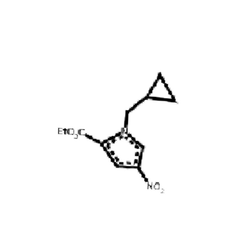 CCOC(=O)c1cc([N+](=O)[O-])cn1CC1CC1